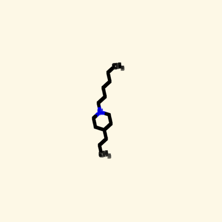 CCCCCCN1CCC(CCC)CC1